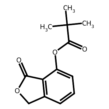 CC(C)(C)C(=O)Oc1cccc2c1C(=O)OC2